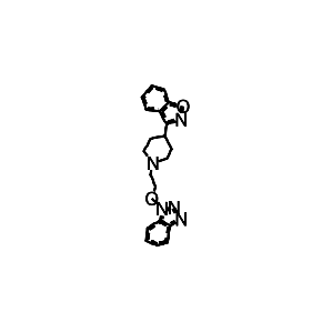 c1ccc2c(c1)nnn2OCCN1CCC(c2noc3ccccc23)CC1